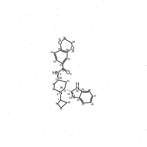 O=C(N[C@@H]1CCN(C2CCC2)[C@@H](c2nc3ccccc3[nH]2)C1)c1ccc2c(c1)OCCO2